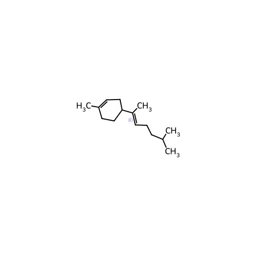 CC1=CCC(/C(C)=C/CCC(C)C)CC1